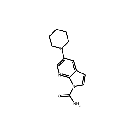 NC(=O)n1c[c]c2cc(N3CCCCC3)cnc21